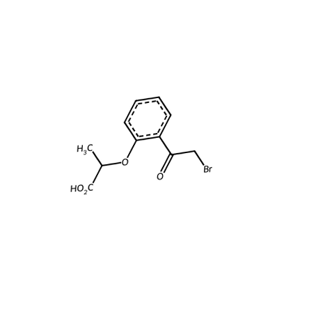 CC(Oc1ccccc1C(=O)CBr)C(=O)O